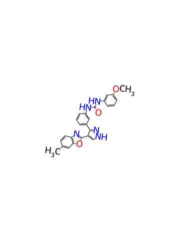 COc1cccc(NC(=O)Nc2cccc(-c3n[nH]cc3-c3nc4ccc(C)cc4o3)c2)c1